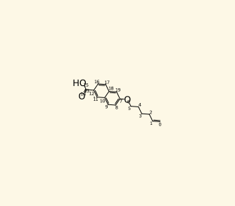 C=CCCCCOc1ccc2[c]c(C(=O)O)ccc2c1